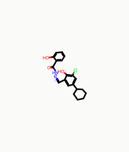 O=C(N/N=C\c1cc(C2CCCCC2)cc(Cl)c1O)c1ccccc1O